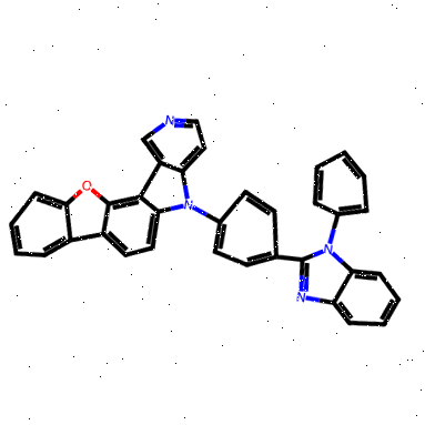 c1ccc(-n2c(-c3ccc(-n4c5ccncc5c5c6oc7ccccc7c6ccc54)cc3)nc3ccccc32)cc1